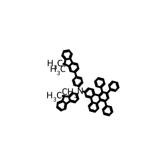 CC1(C)c2ccccc2-c2ccc(-c3ccc(N(c4ccc5c(c4)C(C)(C)c4ccccc4-5)c4ccc5c(c4)c4ccccc4c4c(-c6ccccc6)cc(-c6ccccc6)c(-c6ccccc6)c54)cc3)cc21